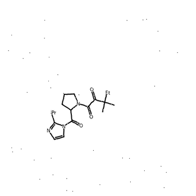 CCC(C)(C)C(=O)C(=O)N1CCCC1C(=O)n1ccnc1C(C)C